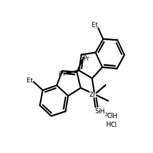 CCc1cccc2c1C=C(C(C)C)[CH]2[Zr]([CH3])([CH3])(=[SiH2])[CH]1C(C(C)C)=Cc2c(CC)cccc21.Cl.Cl